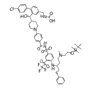 CN(CCO[Si](C)(C)C(C)(C)C)CCC(CSc1ccccc1)Nc1ccc(S(=O)(=O)NC(=O)c2ccc(N3CCC([C@@H](O)c4cc(CNC(=O)O)ccc4-c4ccc(Cl)cc4)CC3)cc2)cc1S(=O)(=O)C(F)(F)F